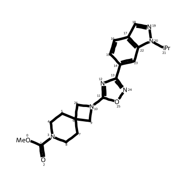 COC(=O)N1CCC2(CC1)CN(c1nc(-c3ccc4cnn(C(C)C)c4c3)no1)C2